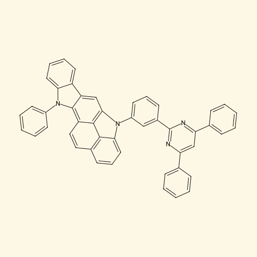 c1ccc(-c2cc(-c3ccccc3)nc(-c3cccc(-n4c5cccc6ccc7c(c65)c4cc4c5ccccc5n(-c5ccccc5)c47)c3)n2)cc1